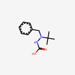 CC(C)(C)N(Cc1ccccc1)NC(=O)O